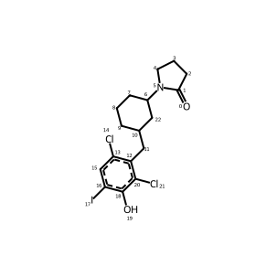 O=C1CCCN1C1CCCC(Cc2c(Cl)cc(I)c(O)c2Cl)C1